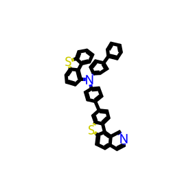 c1ccc(-c2ccc(N(c3ccc(-c4ccc5c(c4)sc4ccc6ccncc6c45)cc3)c3cccc4sc5ccccc5c34)cc2)cc1